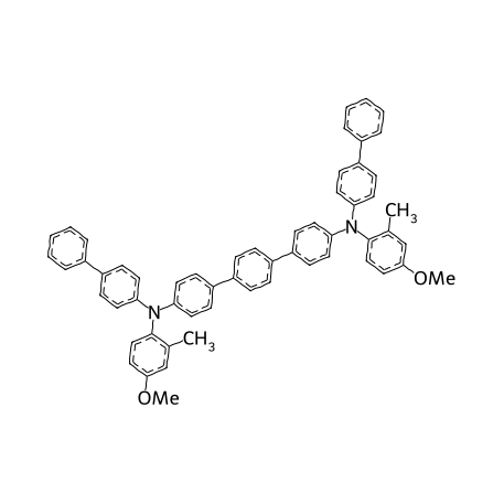 COc1ccc(N(c2ccc(-c3ccccc3)cc2)c2ccc(-c3ccc(-c4ccc(N(c5ccc(-c6ccccc6)cc5)c5ccc(OC)cc5C)cc4)cc3)cc2)c(C)c1